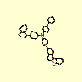 C1=CC(C2=CCCc3ccccc32)CC=C1N(c1ccc(-c2ccccc2)cc1)c1ccc(-c2ccc3c(ccc4oc5ccccc5c43)c2)cc1